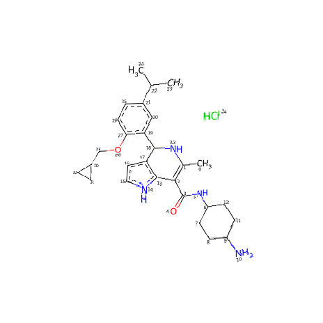 CC1=C(C(=O)NC2CCC(N)CC2)c2[nH]ccc2C(c2cc(C(C)C)ccc2OCC2CC2)N1.Cl